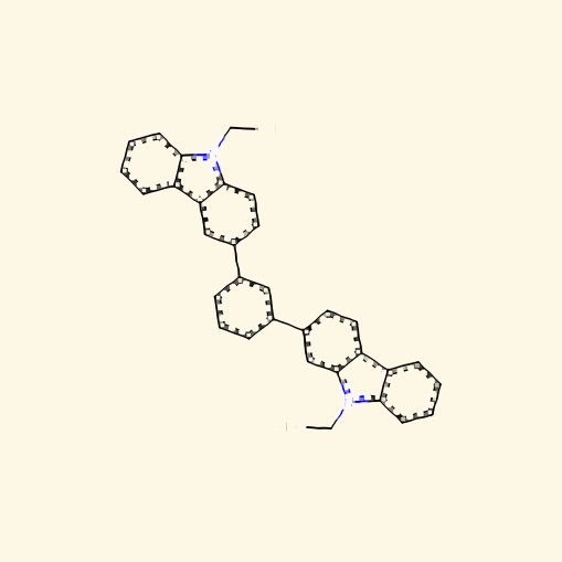 CCn1c2ccccc2c2cc(-c3cccc(-c4ccc5c6ccccc6n(CC)c5c4)c3)ccc21